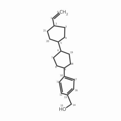 C=CC1CCC(C2CCC(c3ccc(CO)cc3)CC2)CC1